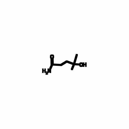 CC(C)(O)CCC(N)=O